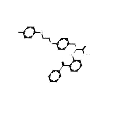 COC(=O)[C@H](Cc1ccc(OCCNc2ccc(F)cc2)cc1)Nc1ccccc1C(=O)c1ccccc1